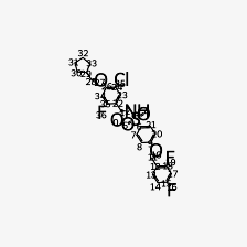 O=C(NS(=O)(=O)c1ccc(OCc2ccc(F)cc2F)cc1)c1cc(Cl)c(OCC2CCCC2)cc1F